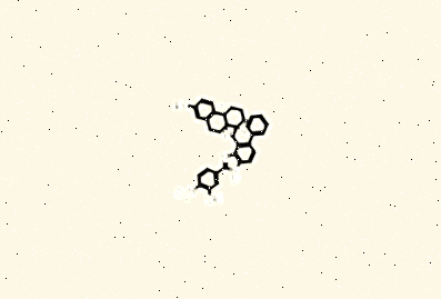 CC(C)c1ccc2c(c1)CC[C@H]1[C@@](C)(Cc3c(-c4ccccc4)ccc4[nH]c(-c5ccc([N+](=O)[O-])c(O)c5)nc34)CCC[C@]21C